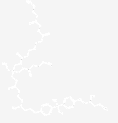 CCC(COC(=O)CCSC)(COC(=O)CCSCCC(=O)OOC(=O)CCSC)COC(=O)CCSC(O)CCOc1ccc(C(C)(C)c2ccc(OCC(O)CSC)cc2)cc1